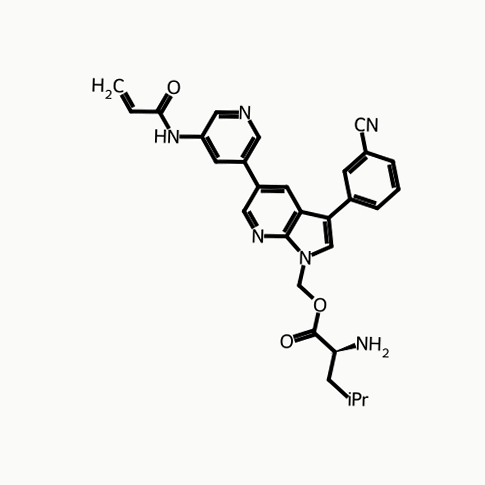 C=CC(=O)Nc1cncc(-c2cnc3c(c2)c(-c2cccc(C#N)c2)cn3COC(=O)[C@@H](N)CC(C)C)c1